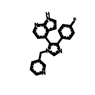 Fc1ccc(-c2ncn(Cc3cccnc3)c2-c2ccnc3[nH]ccc23)cc1